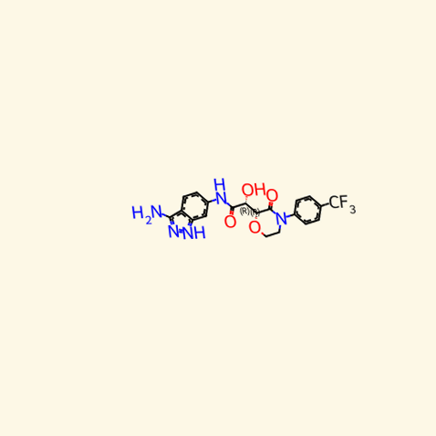 Nc1n[nH]c2cc(NC(=O)[C@H](O)[C@H]3OCCN(c4ccc(C(F)(F)F)cc4)C3=O)ccc12